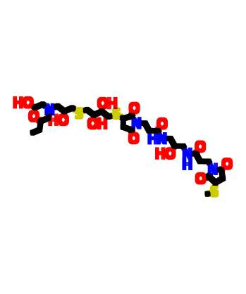 CCC(=O)CN(CCO)CC(O)CSCC(O)C(O)CSC1CC(=O)N(CCC(=O)NCC(O)CNC(=O)CCN2C(=O)CC(SC)C2=O)C1=O